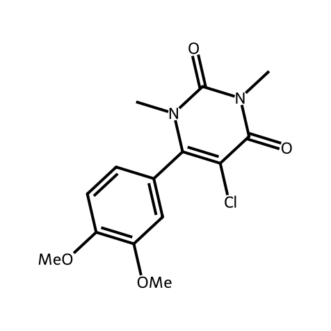 COc1ccc(-c2c(Cl)c(=O)n(C)c(=O)n2C)cc1OC